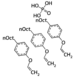 C=COc1ccc(CCCCCCCC)cc1.C=COc1ccc(CCCCCCCC)cc1.C=COc1ccc(CCCCCCCC)cc1.O=P(O)(O)O